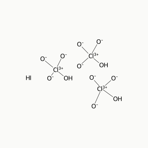 I.[O-][Cl+3]([O-])([O-])O.[O-][Cl+3]([O-])([O-])O.[O-][Cl+3]([O-])([O-])O